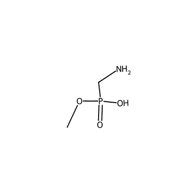 COP(=O)(O)CN